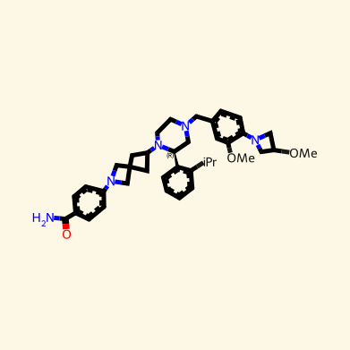 COc1cc(CN2CCN(C3CC4(C3)CN(c3ccc(C(N)=O)cc3)C4)[C@H](c3ccccc3C(C)C)C2)ccc1N1CC(OC)C1